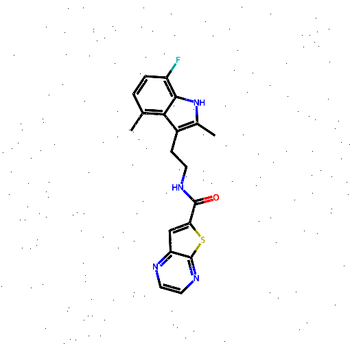 Cc1[nH]c2c(F)ccc(C)c2c1CCNC(=O)c1cc2nccnc2s1